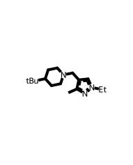 CCn1cc(CN2CCC(C(C)(C)C)CC2)c(C)n1